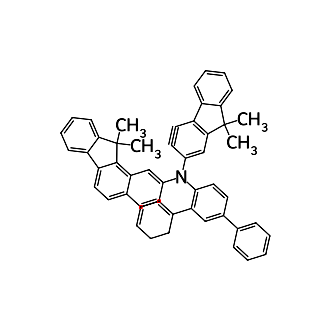 CC1(C)c2cc(N(c3ccc4ccc5c(c4c3)C(C)(C)c3ccccc3-5)c3ccc(-c4ccccc4)cc3C3=CC=CCC3)c#cc2-c2ccccc21